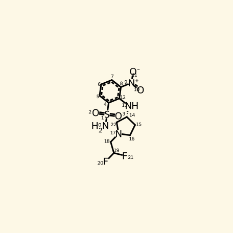 NS(=O)(=O)c1cccc([N+](=O)[O-])c1N[C@@H]1CCN(CC(F)F)C1